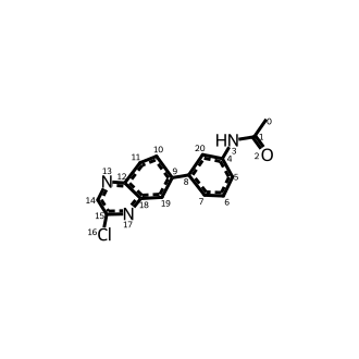 CC(=O)Nc1cccc(-c2ccc3ncc(Cl)nc3c2)c1